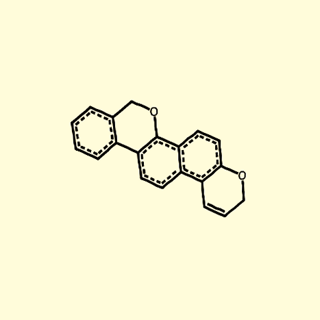 C1=Cc2c(ccc3c4c(ccc23)-c2ccccc2CO4)OC1